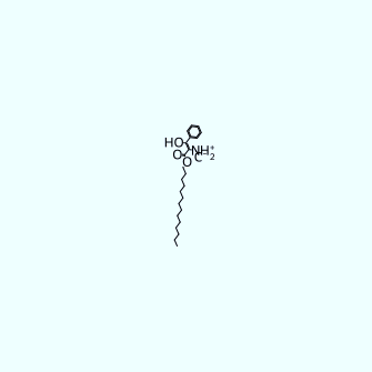 [CH2-][NH2+]/C(C(=O)OCCCCCCCCCCCCCC)=C(/O)c1ccccc1